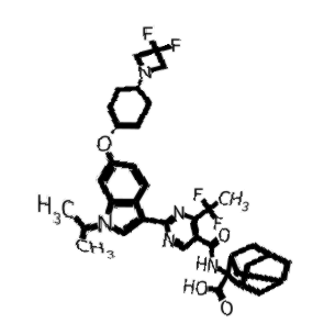 CC(C)n1cc(-c2ncc(C(=O)NC3(C(=O)O)C4CC5CC(C4)CC3C5)c(C(C)(F)F)n2)c2ccc(O[C@H]3CC[C@H](N4CC(F)(F)C4)CC3)cc21